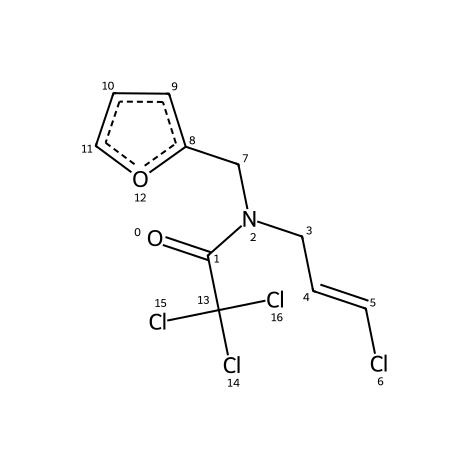 O=C(N(CC=CCl)Cc1ccco1)C(Cl)(Cl)Cl